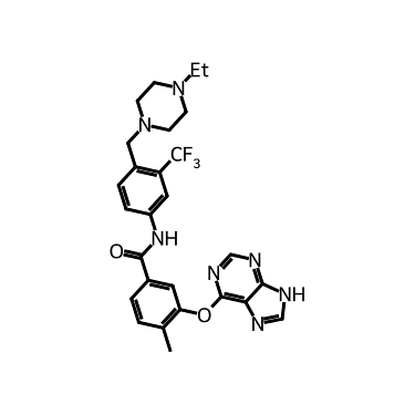 CCN1CCN(Cc2ccc(NC(=O)c3ccc(C)c(Oc4ncnc5[nH]cnc45)c3)cc2C(F)(F)F)CC1